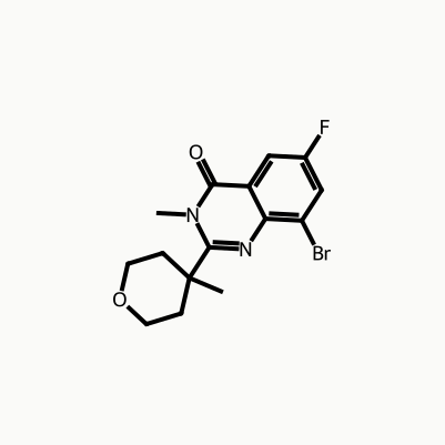 Cn1c(C2(C)CCOCC2)nc2c(Br)cc(F)cc2c1=O